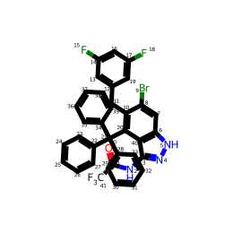 O=C(Nc1n[nH]c2cc(Br)c(Cc3cc(F)cc(F)c3)c(C(c3ccccc3)(c3ccccc3)c3ccccc3)c12)C(F)(F)F